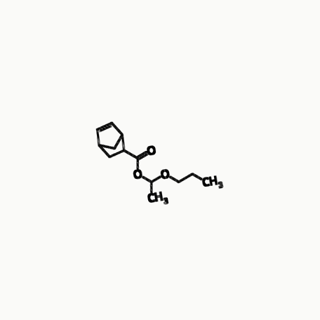 CCCOC(C)OC(=O)C1CC2C=CC1C2